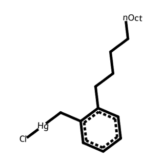 CCCCCCCCCCCCc1ccccc1[CH2][Hg][Cl]